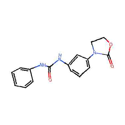 O=C(Nc1ccccc1)Nc1cccc(N2CCOC2=O)c1